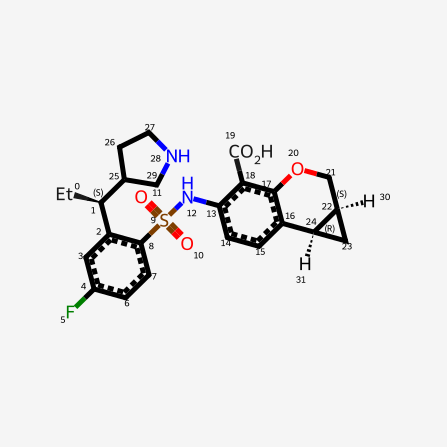 CC[C@H](c1cc(F)ccc1S(=O)(=O)Nc1ccc2c(c1C(=O)O)OC[C@H]1C[C@@H]21)C1CCNC1